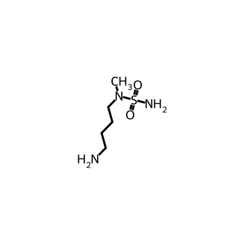 CN(CCCCN)S(N)(=O)=O